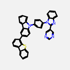 c1ccc2c(c1)nc(-c1cncnc1)n2-c1ccc(-n2c3ccccc3c3cc(-c4cccc5c4sc4ccccc45)ccc32)cc1